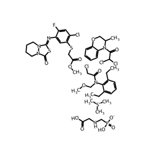 CC1COc2ccccc2N1C(=O)C(Cl)Cl.CCc1cccc(CC)c1N(COC)C(=O)CCl.COC(=O)CSc1cc(/N=c2\sc(=O)n3n2CCCC3)c(F)cc1Cl.C[S+](C)C.O=C(O)CNCP(=O)([O-])O